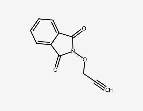 C#CCON1C(=O)c2ccccc2C1=O